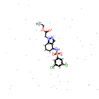 CCOC(=O)Cn1ncc2c1CCCC2NS(=O)(=O)c1cc(Cl)cc(Cl)c1